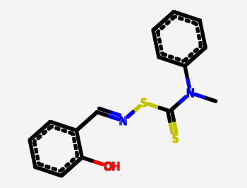 CN(C(=S)SN=Cc1ccccc1O)c1ccccc1